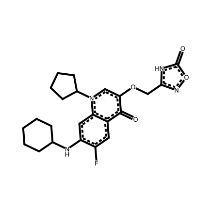 O=c1[nH]c(COc2cn(C3CCCC3)c3cc(NC4CCCCC4)c(F)cc3c2=O)no1